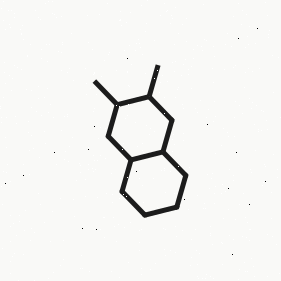 CC1CC2CCCCC2CC1C